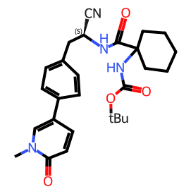 Cn1cc(-c2ccc(C[C@@H](C#N)NC(=O)C3(NC(=O)OC(C)(C)C)CCCCC3)cc2)ccc1=O